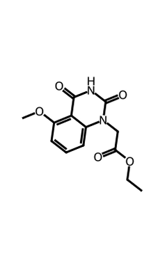 CCOC(=O)Cn1c(=O)[nH]c(=O)c2c(OC)cccc21